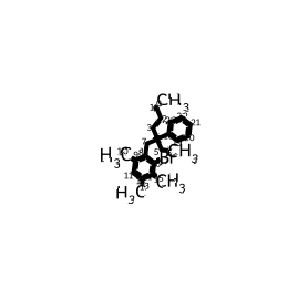 CCCCC(CC)(Cc1c(C)cc(C)c(C)c1Br)c1ccccc1